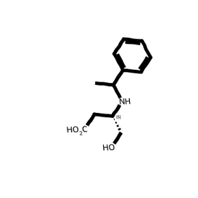 CC(N[C@H](CO)CC(=O)O)c1ccccc1